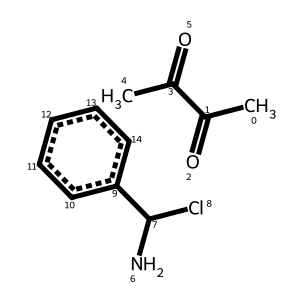 CC(=O)C(C)=O.NC(Cl)c1ccccc1